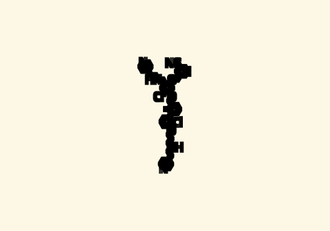 Cc1c(COc2cc(OCc3cncc(C#N)c3)c(CNCCc3ccncc3)cc2Cl)cccc1-c1cccc(OCCCNCCc2ccncc2)c1Cl